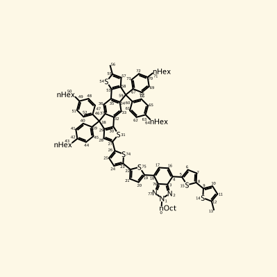 CCCCCCCCn1nc2c(-c3ccc(-c4ccc(C)s4)s3)ccc(-c3ccc(-c4ccc(-c5cc6c(s5)-c5cc7c(cc5C6(c5ccc(CCCCCC)cc5)c5ccc(CCCCCC)cc5)-c5sc(C)cc5C7(c5ccc(CCCCCC)cc5)c5ccc(CCCCCC)cc5)s4)s3)c2n1